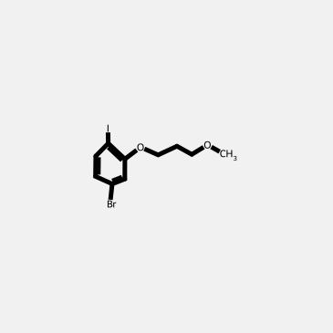 COCCCOc1cc(Br)ccc1I